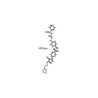 Cl.Cl.O=c1n(CCCC2CCCC2)nnn1-c1ccc(S(=O)(=O)Nc2ccc(CCNCC(O)c3cccnc3)cc2)cc1